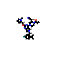 C=CC(=O)N1CCN(c2nc(OC[C@@H]3CCCN3C)nc3c2CN(Cc2cc(F)ccc2C(C)C)C3)C[C@@H]1CC#N